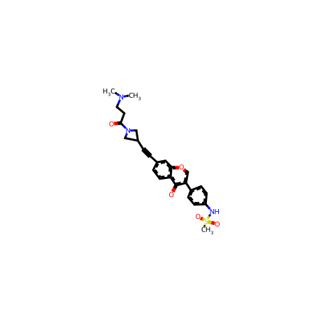 CN(C)CCC(=O)N1CC(C#Cc2ccc3c(=O)c(-c4ccc(NS(C)(=O)=O)cc4)coc3c2)C1